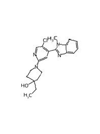 CCC1(O)CCN(c2cc(-c3nc4ccccc4n3C)c(Cl)cn2)CC1